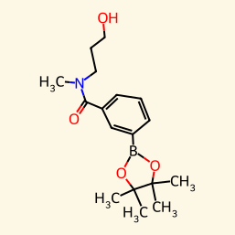 CN(CCCO)C(=O)c1cccc(B2OC(C)(C)C(C)(C)O2)c1